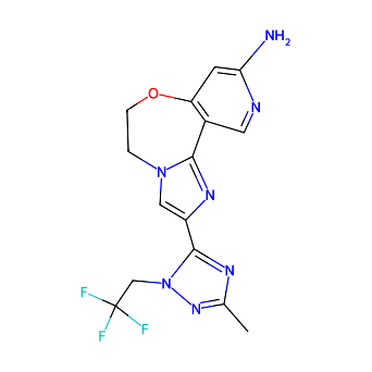 Cc1nc(-c2cn3c(n2)-c2cnc(N)cc2OCC3)n(CC(F)(F)F)n1